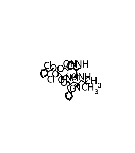 CC(C)[C@H](NC(=O)c1c[nH]c2ccccc12)C1=NOC(Cc2ccccc2)(C(=O)N[C@@H](CC(=O)O)C(=O)COC(=O)c2c(Cl)cccc2Cl)C1